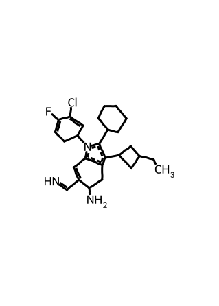 CCC1CC(c2c3c(n(C4C=C(Cl)C(F)=CC4)c2C2CCCCC2)C=C(C=N)C(N)C3)C1